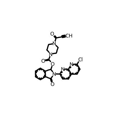 C#CC(=O)N1CCN(C(=O)OC2c3ccccc3C(=O)N2c2ccc3ccc(Cl)nc3n2)CC1